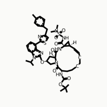 Cc1ccc(Cc2csc(-c3cccc4c3nc(O[C@@H]3C[C@H]5C(=O)N[C@]6(C(=O)NS(=O)(=O)N(C)C)C[C@H]6/C=C\CCCCC[C@H](NC(=O)OC(C)(C)C)C(=O)N5C3)n4C(C)C)n2)cc1